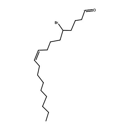 CCCCCCCC/C=C\CCCC(Br)CCC[C]=O